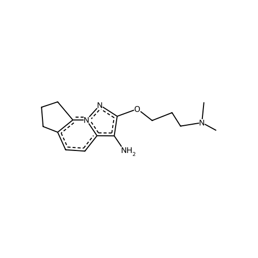 CN(C)CCCOc1nn2c3c(ccc2c1N)CCC3